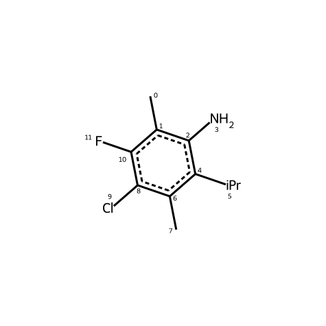 Cc1c(N)c(C(C)C)c(C)c(Cl)c1F